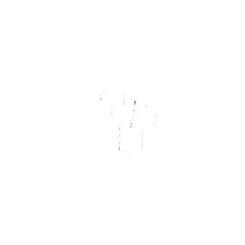 C=C(F)C1=C(C(=O)O)[C@@H]2CCCC3CC[C@]4(C)OO[C@]32[C@H](O1)O4